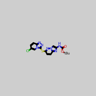 CC(C)(C)OC(=O)Nc1cn2nc(Sc3nnc4ccc(Cl)cn34)ccc2n1